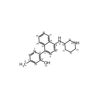 Cc1cnc(-c2nnc(NC3CCCNC3)c3ccccc23)c(O)c1